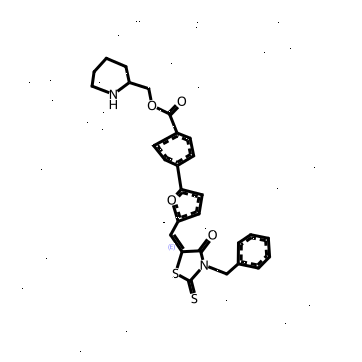 O=C(OCC1CCCCN1)c1ccc(-c2ccc(/C=C3/SC(=S)N(Cc4ccccc4)C3=O)o2)cc1